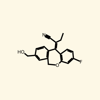 CCC(C#N)=C1c2ccc(CO)cc2COc2cc(F)ccc21